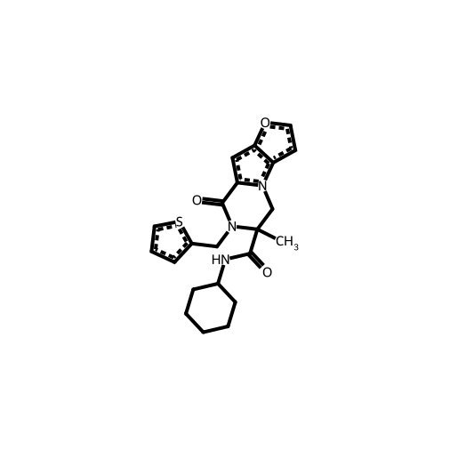 CC1(C(=O)NC2CCCCC2)Cn2c(cc3occc32)C(=O)N1Cc1cccs1